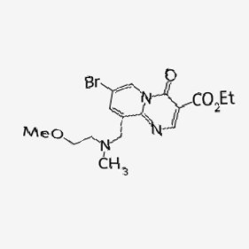 CCOC(=O)c1cnc2c(CN(C)CCOC)cc(Br)cn2c1=O